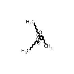 CCCCCCCC(=O)Oc1ccc(CCCC)cc1OC(=O)CCCCCCC